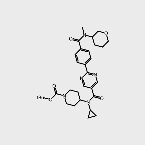 CN(C(=O)c1ccc(-c2ncc(C(=O)N(C3CC3)C3CCN(C(=O)OC(C)(C)C)CC3)cn2)cc1)C1CCCOC1